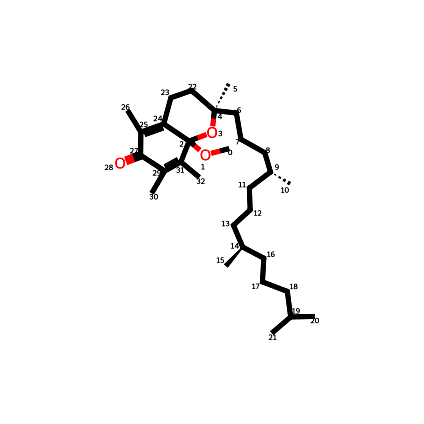 COC12O[C@](C)(CCC[C@H](C)CCC[C@H](C)CCCC(C)C)CCC1=C(C)C(=O)C(C)=C2C